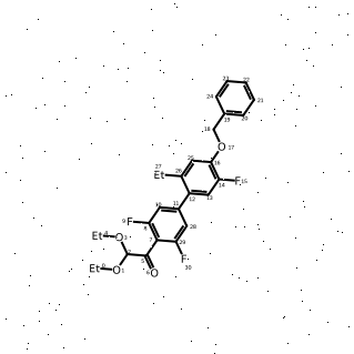 CCOC(OCC)C(=O)c1c(F)cc(-c2cc(F)c(OCc3ccccc3)cc2CC)cc1F